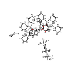 CC#N.CC#N.F[B-](F)(F)F.F[B-](F)(F)F.[Fe+2].c1ccc(P(c2ccccc2)c2ccccc2C2c3ccccc3C3(CNc4ccccc4[C@@H](c4ccccc4P(c4ccccc4)c4ccccc4)c4ccccc4N3)c3ccccc32)cc1